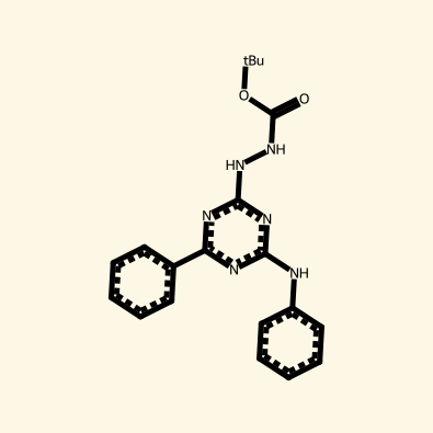 CC(C)(C)OC(=O)NNc1nc(Nc2ccccc2)nc(-c2ccccc2)n1